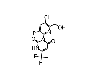 O=c1cc(C(F)(F)F)[nH]c(=O)n1-c1nc(CO)c(Cl)cc1F